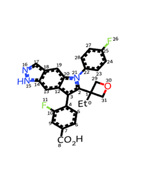 CCC1(c2c(-c3ccc(C(=O)O)cc3F)c3cc4[nH]ncc4cc3n2-c2ccc(F)cc2)COC1